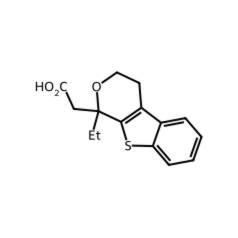 CCC1(CC(=O)O)OCCc2c1sc1ccccc21